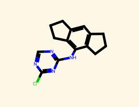 Clc1ncnc(Nc2c3c(cc4c2CCC4)CCC3)n1